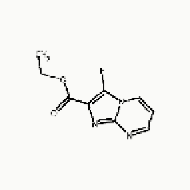 CCOC(=O)c1nc2ncccn2c1F